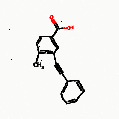 Cc1ccc(C(=O)O)cc1C#Cc1ccccc1